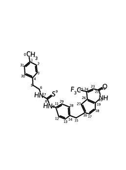 Cc1ccc(CCNC(=S)Nc2ccc(Cc3ccc4[nH]c(=O)cc(C(F)(F)F)c4c3)cc2)cc1